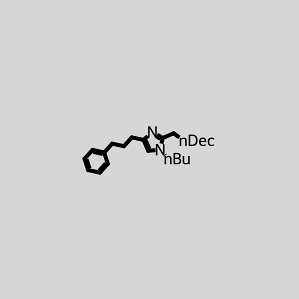 CCCCCCCCCCCc1nc(CCCc2ccccc2)cn1CCCC